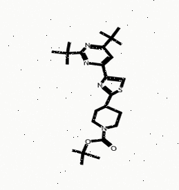 CC(C)(C)OC(=O)N1CCC(c2nc(-c3cc(C(C)(C)C)nc(C(C)(C)C)n3)cs2)CC1